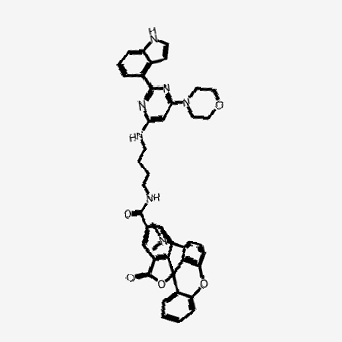 CN(C)c1cccc2c1C1(OC(=O)c3cc(C(=O)NCCCCNc4cc(N5CCOCC5)nc(-c5cccc6[nH]ccc56)n4)ccc31)c1ccccc1O2